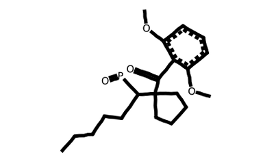 CCCCCC(P=O)C1(C(=O)c2c(OC)cccc2OC)CCCC1